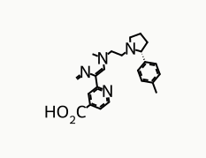 C=N/C(=C\N(C)CCN1CCC[C@@H]1c1ccc(C)cc1)c1cc(C(=O)O)ccn1